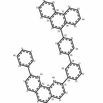 c1ccc(-c2ccc3ccc4ccc(-c5cccc(-c6ccc(-c7cc8ccccc8c8ccccc78)cc6)c5)nc4c3n2)cc1